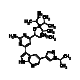 CCCC(O[Si](C(C)C)(C(C)C)C(C)C)c1cc(-c2c[nH]c3ncc(-c4cnn(C(C)C)c4)cc23)nc(N)n1